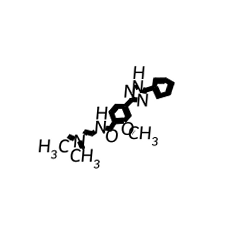 CCN(CC)CCNC(=O)c1ccc(-c2n[nH]c(-c3ccccc3)n2)cc1OC